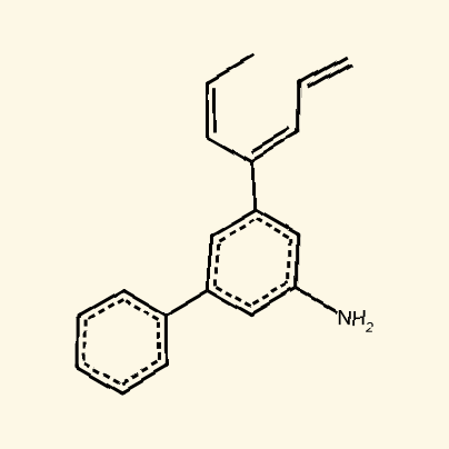 C=C/C=C(\C=C/C)c1cc(N)cc(-c2ccccc2)c1